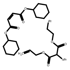 C=CCOC(=O)C(CCC)C(=O)OCCC(C)C.O=C(/C=C\C(=O)OC1CCCCC1)OC1CCCCC1